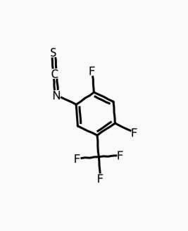 Fc1cc(F)c(C(F)(F)F)cc1N=C=S